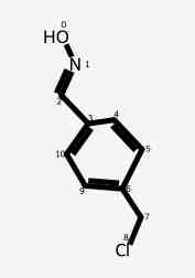 O/N=C/c1ccc(CCl)cc1